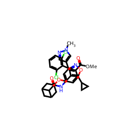 COC(=O)c1ccc(NC(=O)C2C3CC(OCc4c(-c5c(Cl)cccc5Cl)noc4C4CC4)CC2C3)cc1-c1cnn(C)c1